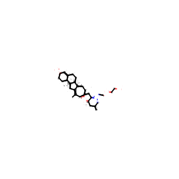 COCCOCCN1CC(C)C[C@H]2OC3(CC[C@@H]4C(=C(C)C3)C[C@H]3C4CCC4=CC(=O)CC[C@@]43C)[C@H](C)C21